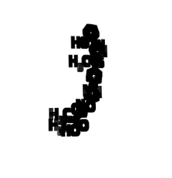 Cc1c(C2CCN(c3ncc(Oc4cc(C(C(=O)O)C(C)C)on4)cn3)CC2)sc2nnc(-c3ccccc3O)cc12